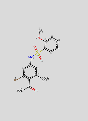 COC(=O)c1c(Br)cc(NS(=O)(=O)c2ccccc2OC(F)(F)F)cc1C(=O)O